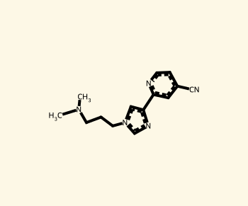 CN(C)CCCn1cnc(-c2cc(C#N)ccn2)c1